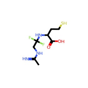 CC(=N)NCC(F)(F)NC(CCS)C(=O)O